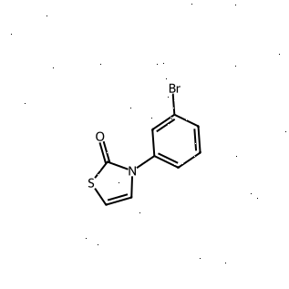 O=c1sccn1-c1cccc(Br)c1